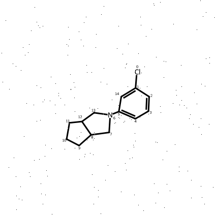 Clc1cccc(N2CC3CCCC3C2)c1